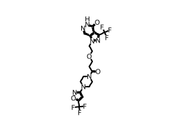 O=C(CCOCCn1nc(C(F)(F)F)c2c(=O)[nH]ncc21)N1CCN(c2cc(C(F)(F)F)on2)CC1